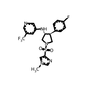 Cn1cnc(S(=O)(=O)N2C[C@H](Nc3cncc(C(F)(F)F)c3)[C@@H](c3ccc(F)cc3)C2)c1